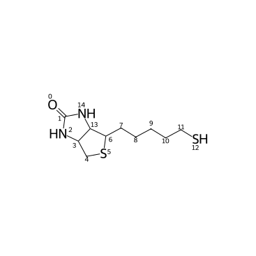 O=C1NC2CSC(CCCCCS)C2N1